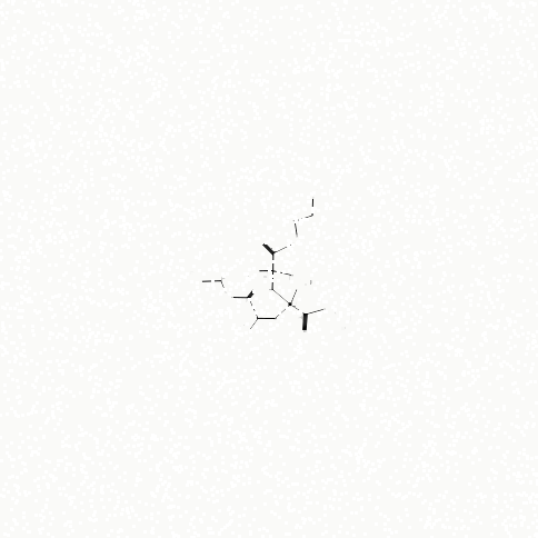 CCCOC(=O)C(C)(C)CC(C)(CC(C)C(=O)OCC)C(=O)OC